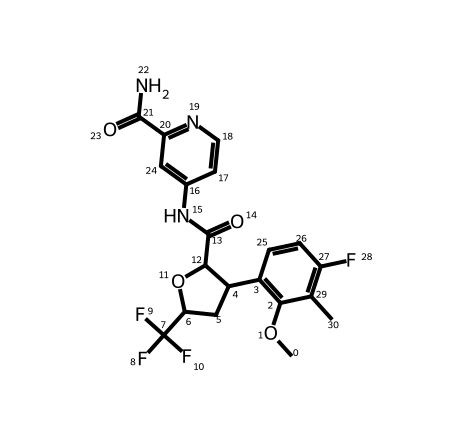 COc1c(C2CC(C(F)(F)F)OC2C(=O)Nc2ccnc(C(N)=O)c2)ccc(F)c1C